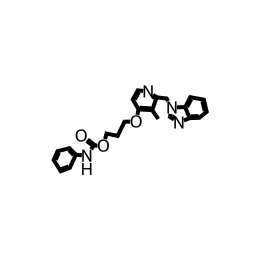 Cc1c(OCCCOC(=O)Nc2ccccc2)ccnc1Cn1cnc2ccccc21